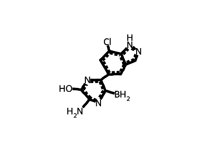 Bc1nc(N)c(O)nc1-c1cc(Cl)c2[nH]ncc2c1